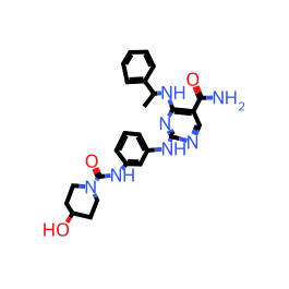 CC(Nc1nc(Nc2cccc(NC(=O)N3CCC(O)CC3)c2)ncc1C(N)=O)c1ccccc1